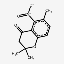 Cc1ccc2c(c1[N+](=O)[O-])C(=O)CC(C)(C)O2